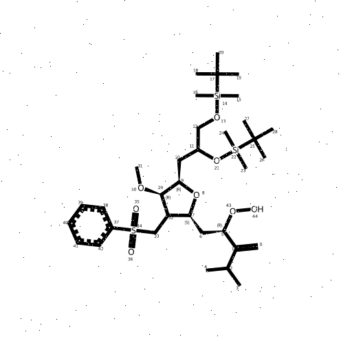 C=C(C(C)C)[C@@H](C[C@@H]1O[C@H](CC(CO[Si](C)(C)C(C)(C)C)O[Si](C)(C)C(C)(C)C)[C@H](OC)C1CS(=O)(=O)c1ccccc1)OO